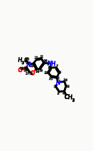 CC1CCN(c2ccc(Nc3ccc4c(c3)OCC(=O)N4C)cc2)CC1